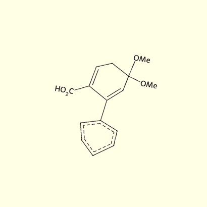 COC1(OC)C=C(c2ccccc2)C(C(=O)O)=CC1